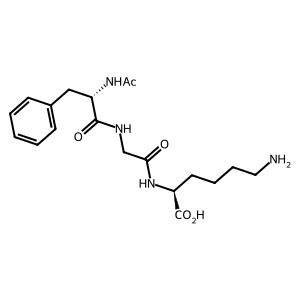 CC(=O)N[C@@H](Cc1ccccc1)C(=O)NCC(=O)N[C@@H](CCCCN)C(=O)O